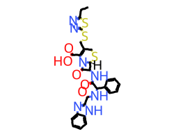 CCc1nnc(SCC2=C(C(=O)O)N3C(=O)C(NC(=O)C(NC(=O)c4nc5ccccc5[nH]4)c4ccccc4)[C@@H]3SC2)s1